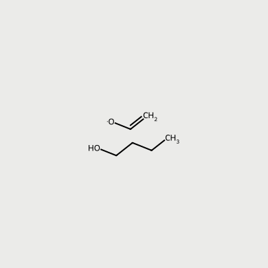 C=C[O].CCCCO